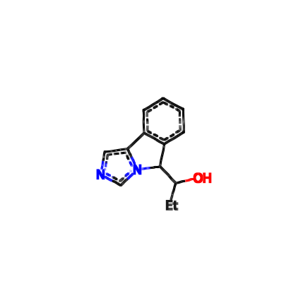 CCC(O)C1c2ccccc2-c2cncn21